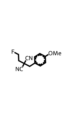 COc1ccc(CC(C#N)(C#N)CCF)cc1